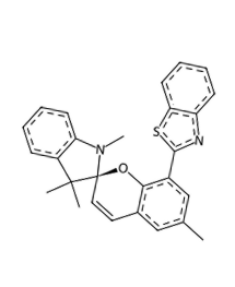 Cc1cc2c(c(-c3nc4ccccc4s3)c1)O[C@]1(C=C2)N(C)c2ccccc2C1(C)C